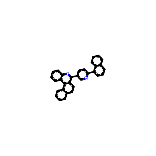 c1ccc2c(-c3ccc(-c4nc5ccccc5c5c4ccc4ccccc45)cn3)cccc2c1